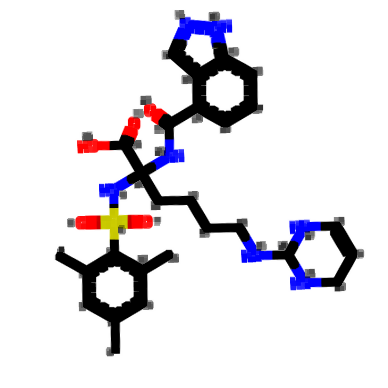 Cc1cc(C)c(S(=O)(=O)NC(CCCCNC2NC=CCN2)(NC(=O)c2cccc3[nH]ncc23)C(=O)O)c(C)c1